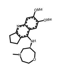 COc1cc2nc3c(c(N[C@H]4COCCN(C)C4)c2cc1OC)CCC3